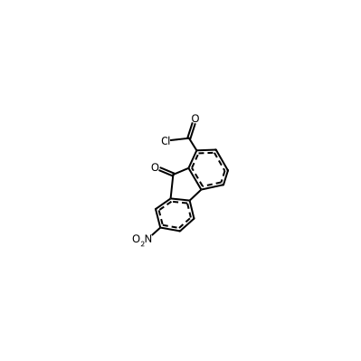 O=C(Cl)c1cccc2c1C(=O)c1cc([N+](=O)[O-])ccc1-2